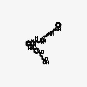 O=C(O)CCCC(=O)N1CCC(Nc2nc(NCc3cn(CCCNCCCNC4CCCCC4)nn3)nc3ccccc23)CC1